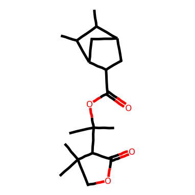 CC1C2CC(C(=O)OC(C)(C)C3C(=O)OCC3(C)C)C(C2)C1C